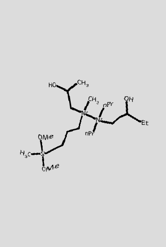 CCC[N+](CCC)(CC(O)CC)[N+](C)(CCC[Si](C)(OC)OC)CC(C)O